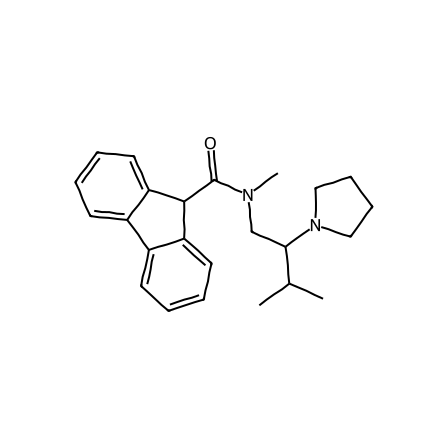 CC(C)C(CN(C)C(=O)C1c2ccccc2-c2ccccc21)N1CCCC1